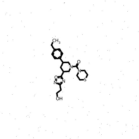 CCc1ccc(C2CC(c3nc(CCO)no3)CN(C(=O)N3CCSCC3)C2)cc1